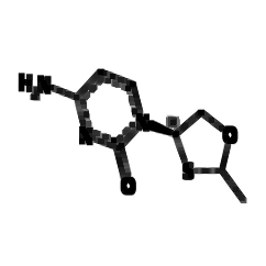 CC1OC[C@H](n2ccc(N)nc2=O)S1